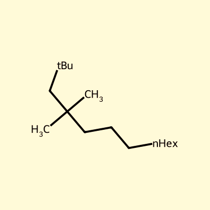 [CH2]CCCCCCCCC(C)(C)CC(C)(C)C